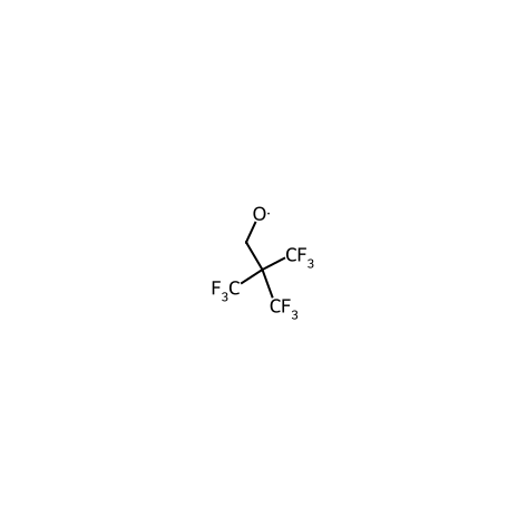 [O]CC(C(F)(F)F)(C(F)(F)F)C(F)(F)F